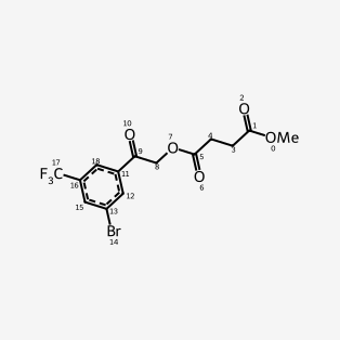 COC(=O)CCC(=O)OCC(=O)c1cc(Br)cc(C(F)(F)F)c1